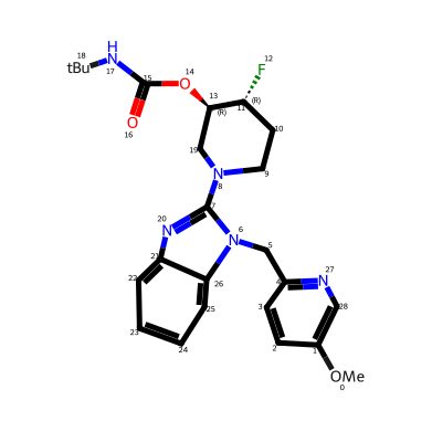 COc1ccc(Cn2c(N3CC[C@@H](F)[C@H](OC(=O)NC(C)(C)C)C3)nc3ccccc32)nc1